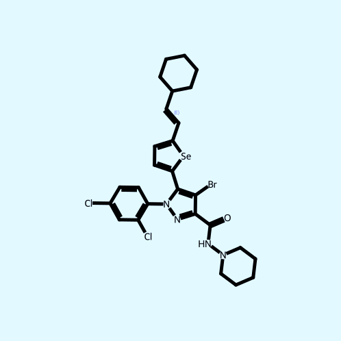 O=C(NN1CCCCC1)c1nn(-c2ccc(Cl)cc2Cl)c(-c2ccc(/C=C/C3CCCCC3)[se]2)c1Br